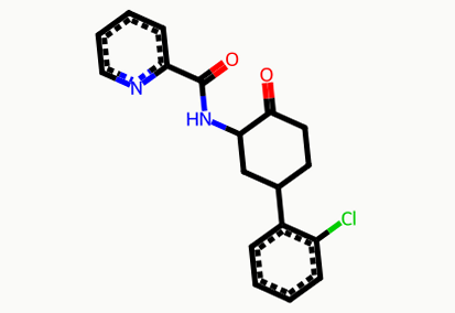 O=C(NC1CC(c2ccccc2Cl)CCC1=O)c1ccccn1